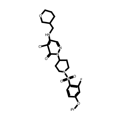 CC(C)Oc1ccc(S(=O)(=O)N2CCC(n3ncc(NCC4CCCOC4)c(Cl)c3=O)CC2)c(F)c1